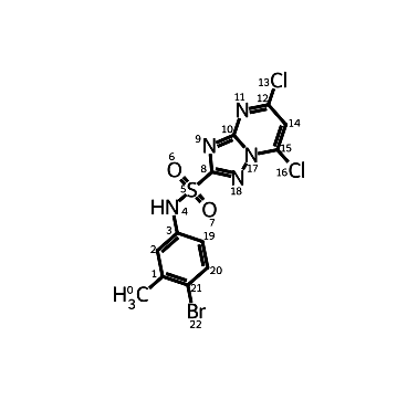 Cc1cc(NS(=O)(=O)c2nc3nc(Cl)cc(Cl)n3n2)ccc1Br